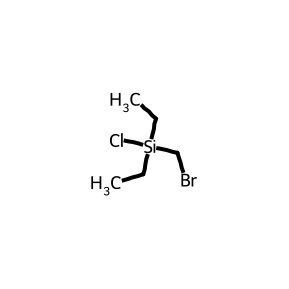 CC[Si](Cl)(CC)CBr